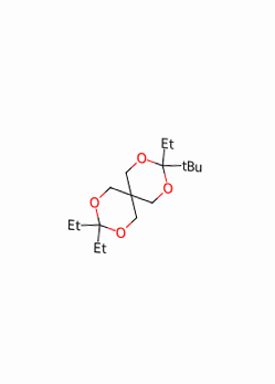 CCC1(CC)OCC2(CO1)COC(CC)(C(C)(C)C)OC2